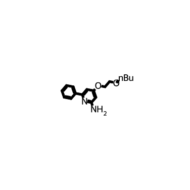 CCCCOCCOc1cc(N)nc(-c2ccccc2)c1